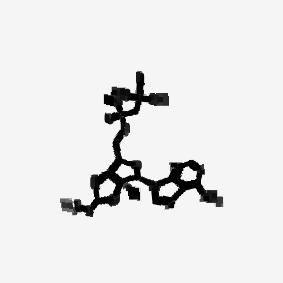 COC1OC2[C@@H](COP(=O)(O)CP(=O)(O)O)O[C@@H](n3cnc4c(N)ncnc43)[C@H]2O1